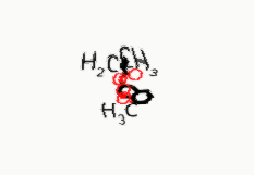 C=C(C)C(=O)OC1C2OC3C1OC1(C)CCCC2C31